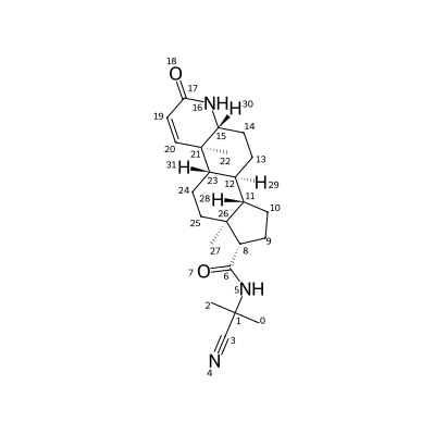 CC(C)(C#N)NC(=O)[C@H]1CC[C@H]2[C@@H]3CC[C@H]4NC(=O)C=C[C@]4(C)[C@H]3CC[C@]12C